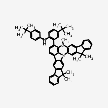 CB1c2cc3c(cc2-n2c4cc5c(cc4c4ccc(-c6cc(C(C)(C)C)ccc6Nc6ccc(C(C)(C)C)cc6)c1c42)-c1ccccc1C5(C)C)C(C)(C)c1ccccc1-3